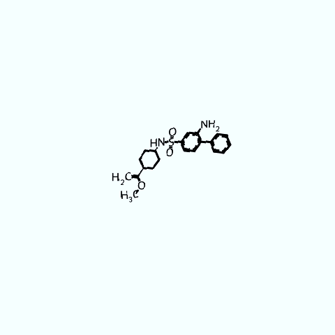 C=C(OC)[C@H]1CC[C@H](NS(=O)(=O)c2ccc(-c3ccccc3)c(N)c2)CC1